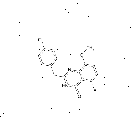 COc1ccc(F)c2c(=O)[nH]c(Cc3ccc(Cl)cc3)nc12